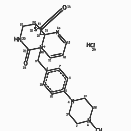 CN1CCN(c2ccc(C[N+]34C=CC=NC35CC(=O)SC5CNC4=O)cc2)CC1.Cl